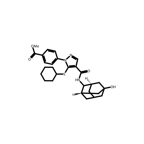 COC(=O)c1ccc(-n2ncc(C(=O)NC3[C@@H]4CC5C[C@H]3CC(O)(C5)C4)c2SC2CCCCC2)cc1